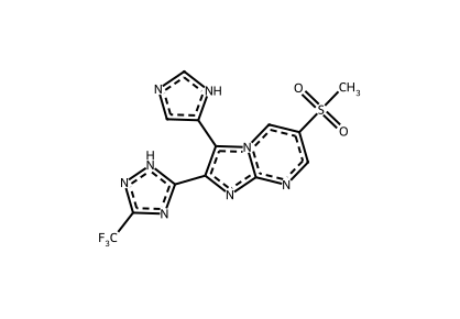 CS(=O)(=O)c1cnc2nc(-c3nc(C(F)(F)F)n[nH]3)c(-c3cnc[nH]3)n2c1